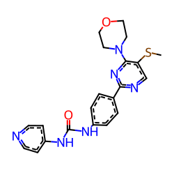 CSc1cnc(-c2ccc(NC(=O)Nc3ccncc3)cc2)nc1N1CCOCC1